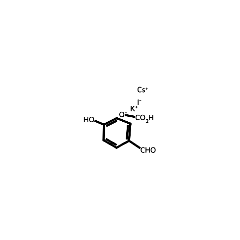 O=C([O-])O.O=Cc1ccc(O)cc1.[Cs+].[I-].[K+]